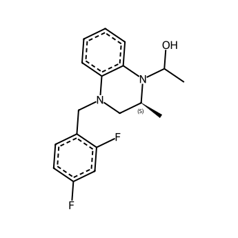 CC(O)N1c2ccccc2N(Cc2ccc(F)cc2F)C[C@@H]1C